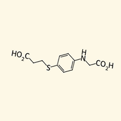 O=C(O)CCSc1ccc(NCC(=O)O)cc1